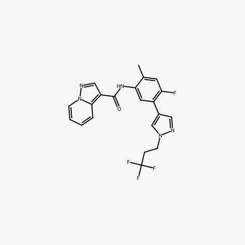 Cc1cc(F)c(-c2cnn(CCC(F)(F)F)c2)cc1NC(=O)c1cnn2ccccc12